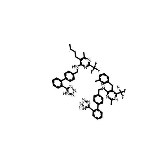 CCCCc1c(C)nc(C(F)(F)F)nc1NCc1ccc(-c2ccccc2-c2nnn[nH]2)cc1.Cc1cccc(Cc2c(NCc3ccc(-c4ccccc4-c4nnn[nH]4)cc3)nc(C)nc2C(F)(F)F)c1